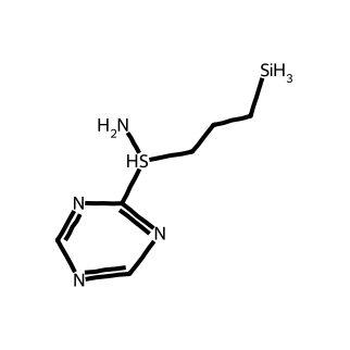 N[SH](CCC[SiH3])c1ncncn1